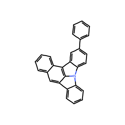 c1ccc(-c2ccc3c(c2)c2c4ccccc4cc4c5ccccc5n3c42)cc1